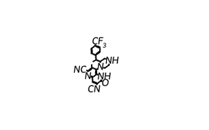 Cc1c(C#N)nc2cc(C#N)c(=O)[nH]c2c1N1CCNCC1C(C)c1ccc(C(F)(F)F)cc1